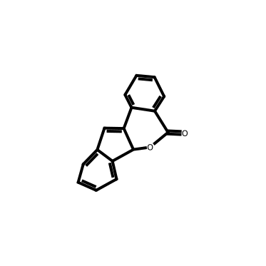 O=C1OC2C(=Cc3ccccc32)c2ccccc21